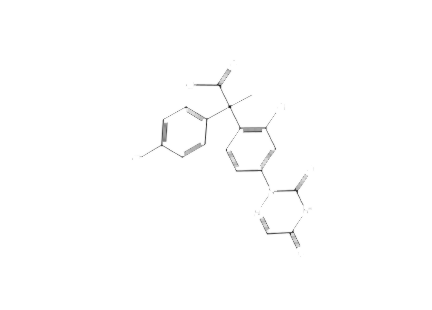 CC(C(=O)Cl)(c1ccc(Cl)cc1)c1ccc(-n2ncc(=O)[nH]c2=O)cc1Cl